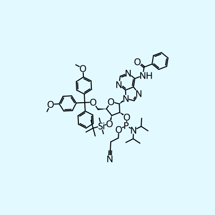 COc1ccc(C(OC[C@H]2O[C@@H](n3cnc4c(NC(=O)c5ccccc5)ncnc43)[C@@H](OP(OCCC#N)N(C(C)C)C(C)C)[C@H]2O[Si](C)(C)C(C)(C)C)(c2ccccc2)c2ccc(OC)cc2)cc1